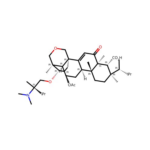 CC(=O)O[C@@H]1C[C@@]23COC[C@@](C)([C@@H]2CC[C@H]2C3=CC(=O)[C@@]3(C)[C@H](C(=O)O)[C@@](C)([C@H](C)C(C)C)CC[C@]23C)[C@H]1OC[C@](C)(C(C)C)N(C)C